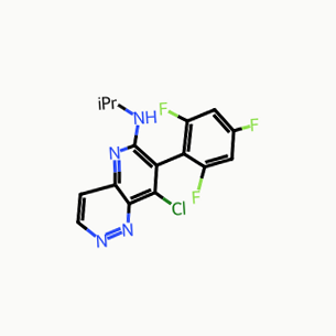 CC(C)Nc1nc2ccnnc2c(Cl)c1-c1c(F)cc(F)cc1F